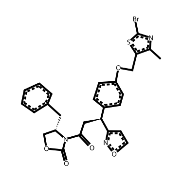 Cc1nc(Br)sc1COc1ccc([C@H](CC(=O)N2C(=O)OC[C@@H]2Cc2ccccc2)c2ccon2)cc1